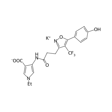 CCn1cc(NC(=O)CCc2noc(-c3ccc(O)cc3)c2C(F)(F)F)c(C(=O)[O-])c1.[K+]